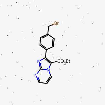 CCOC(=O)c1c(-c2ccc(CBr)cc2)nc2ncccn12